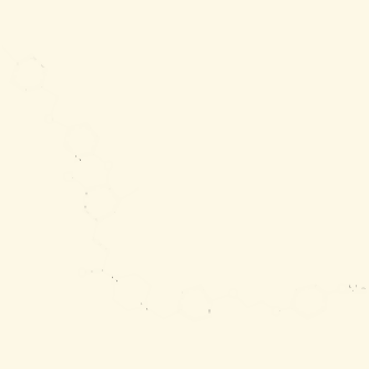 COc1ccc(OCCOc2ccc(CN3CCN(C(=O)C=Cc4cc(C)c(Oc5ccc(OCc6ccc(C)cc6)cn5)c(Cl)c4)CC3)cc2)cc1